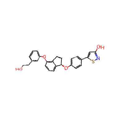 OCCc1cccc(Oc2cccc3c2CC[C@H]3Oc2ccc(-c3cc(O)ns3)cc2)c1